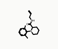 C=CCNC(=O)C1CCCCN1c1c(C)cccc1C